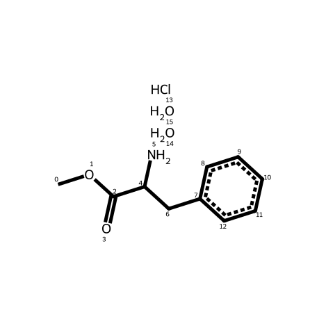 COC(=O)C(N)Cc1ccccc1.Cl.O.O